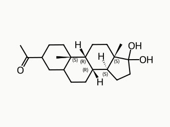 CC(=O)C1CC[C@@]2(C)C(CC[C@@H]3[C@H]2CC[C@@]2(C)[C@H]3CCC2(O)O)C1